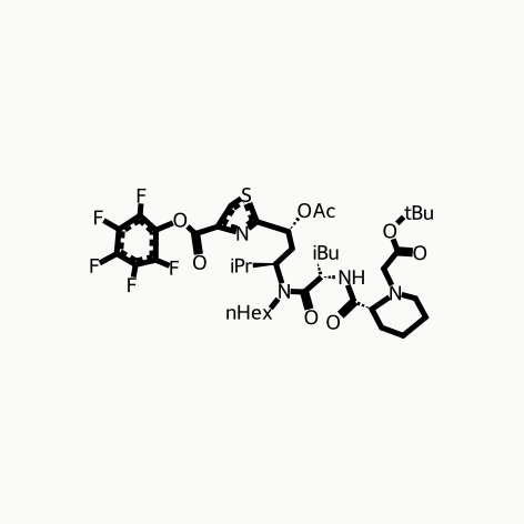 CCCCCCN(C(=O)[C@@H](NC(=O)[C@H]1CCCCN1CC(=O)OC(C)(C)C)[C@@H](C)CC)[C@H](C[C@@H](OC(C)=O)c1nc(C(=O)Oc2c(F)c(F)c(F)c(F)c2F)cs1)C(C)C